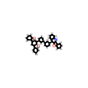 c1cc(-c2cccc(-c3c4ccccc4nc4c3oc3ccccc34)c2)cc(-c2c3oc4ccccc4c3cc3c2oc2ccccc23)c1